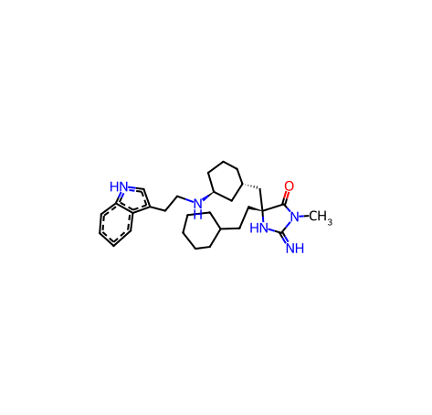 CN1C(=N)N[C@](CCC2CCCCC2)(C[C@H]2CCC[C@H](NCCc3c[nH]c4ccccc34)C2)C1=O